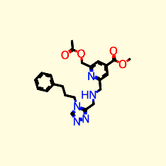 COC(=O)c1cc(CNCc2nncn2CCCc2ccccc2)nc(COC(C)=O)c1